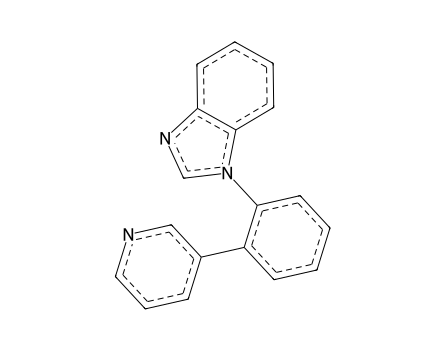 c1cncc(-c2ccccc2-n2cnc3ccccc32)c1